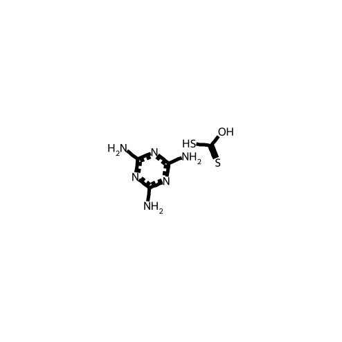 Nc1nc(N)nc(N)n1.OC(=S)S